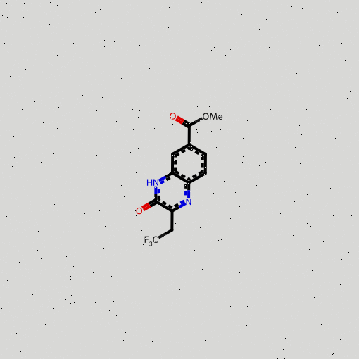 COC(=O)c1ccc2nc(CC(F)(F)F)c(=O)[nH]c2c1